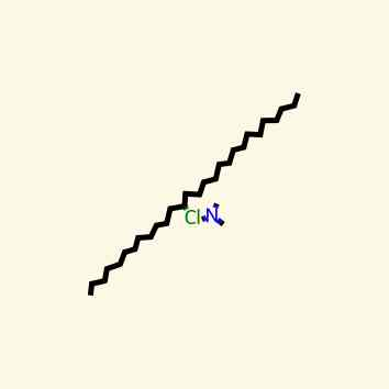 CCCCCCCCCCCCCCCC(Cl)CCCCCCCCCCCC.CN(C)C